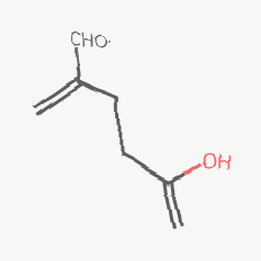 C=C(O)CCC(=C)[C]=O